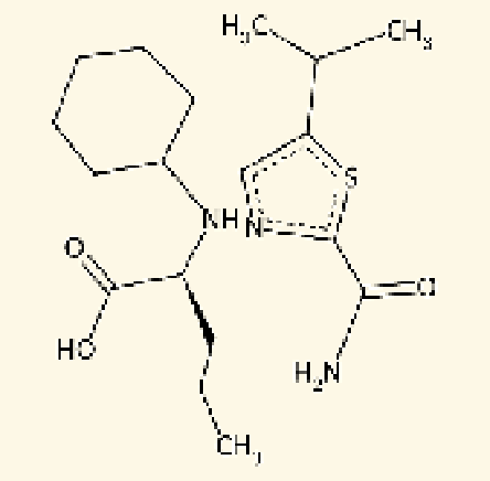 CC(C)c1cnc(C(N)=O)s1.CCC[C@H](NC1CCCCC1)C(=O)O